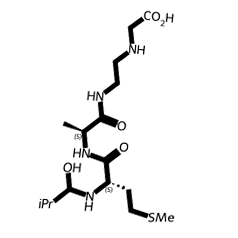 CSCC[C@H](NC(O)C(C)C)C(=O)N[C@@H](C)C(=O)NCCNCC(=O)O